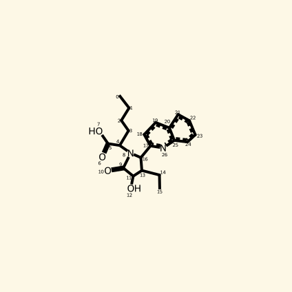 CCCCC(C(=O)O)N1C(=O)C(O)C(CC)C1c1ccc2ccccc2n1